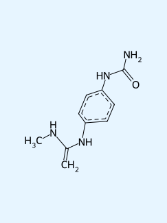 C=C(NC)Nc1ccc(NC(N)=O)cc1